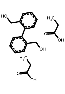 CCC(=O)O.CCC(=O)O.OCc1ccccc1-c1ccccc1CO